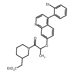 CCOC(=O)CC1CCCN(C(=O)C(C)Oc2ccc3c(-c4ccccc4CC)ccnc3c2)C1